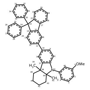 COc1cccc(N2c3ccc(-c4ccc5c(c4)-c4ccccc4C5(c4ccccc4)c4ccccc4)cc3C3(C)CCCCC23C)c1